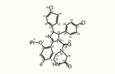 CC(C)Oc1cc(F)ccc1C1=NC(c2ccc(Cl)cc2)C(c2ccc(Cl)cc2)N1C(=O)N1CCNC(=O)C1